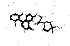 Cc1cccc(C)c1-c1c[nH]c(=O)c2cc(O[C@H](C)C(=O)N3CCC(C)(C(=O)O)CC3)ccc12